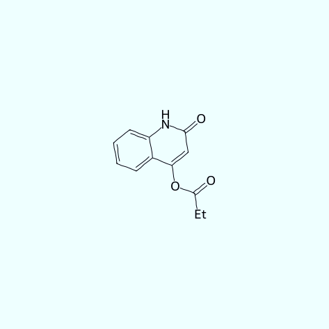 CCC(=O)Oc1cc(=O)[nH]c2ccccc12